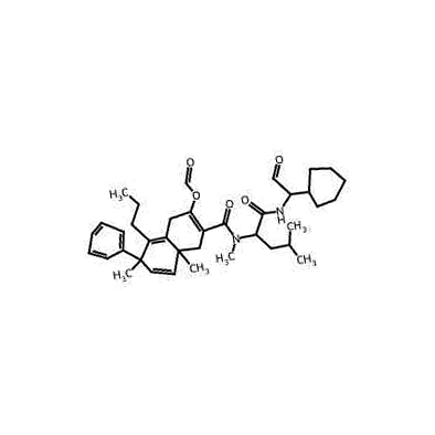 CCCC1=C2CC(OC=O)=C(C(=O)N(C)C(CC(C)C)C(=O)NC(C=O)C3CCCCC3)CC2(C)C=CC1(C)c1ccccc1